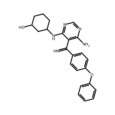 N=C(c1ccc(Oc2ccccc2)cc1)c1c(N)ncnc1NC1CCCC(O)C1